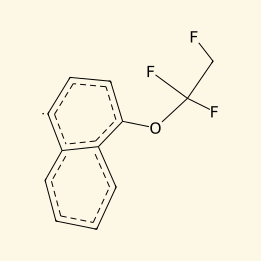 FCC(F)(F)Oc1cc[c]c2ccccc12